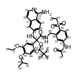 CCOc1cc(C(Nc2ccc3c(N)nccc3c2)(OC(=O)C(F)(F)F)C(=O)NCc2cc(NC(C)=O)ccc2S(=O)(=O)CC)ccc1OC(C)C